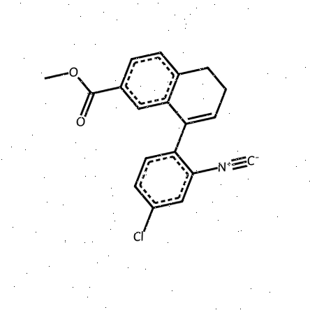 [C-]#[N+]c1cc(Cl)ccc1C1=CCCc2ccc(C(=O)OC)cc21